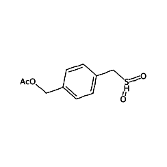 CC(=O)OCc1ccc(C[SH](=O)=O)cc1